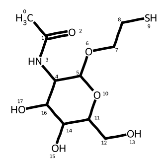 CC(=O)NC1C(OCCS)OC(CO)C(O)C1O